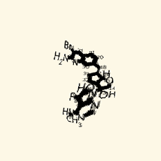 CNc1ncnc2c1c(F)cn2[C@]1(O)CO[C@@H]2[C@H](Cc3ccc4cc(Br)c(N)nc4c3)CC[C@@]21O